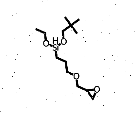 CCO[SiH](CCCOCC1CO1)OCC(C)(C)C